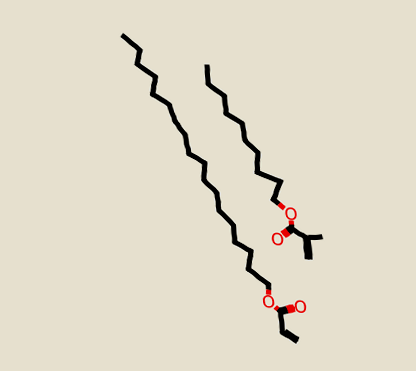 C=C(C)C(=O)OCCCCCCCCCC.C=CC(=O)OCCCCCCCCCCCCCCCCCC